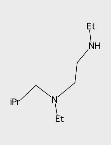 CCNCCN(CC)CC(C)C